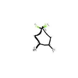 CCC1CC(F)(F)CC1C(C)C